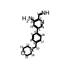 N=Cc1ncc(-c2ccc(CN3CCOCC3)cc2)cc1N